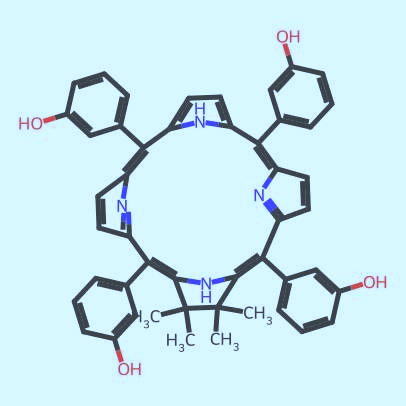 CC1(C)c2[nH]c(c(-c3cccc(O)c3)c3nc(c(-c4cccc(O)c4)c4ccc([nH]4)c(-c4cccc(O)c4)c4nc(c2-c2cccc(O)c2)C=C4)C=C3)C1(C)C